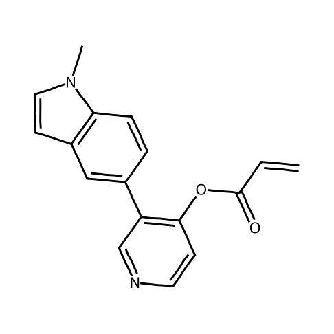 C=CC(=O)Oc1ccncc1-c1ccc2c(ccn2C)c1